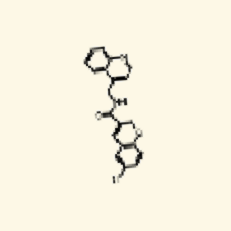 O=C(NCc1ccnc2ccccc12)C1=Cc2cc(Cl)ccc2OC1